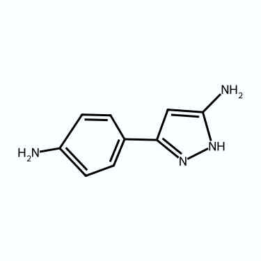 Nc1ccc(-c2cc(N)[nH]n2)cc1